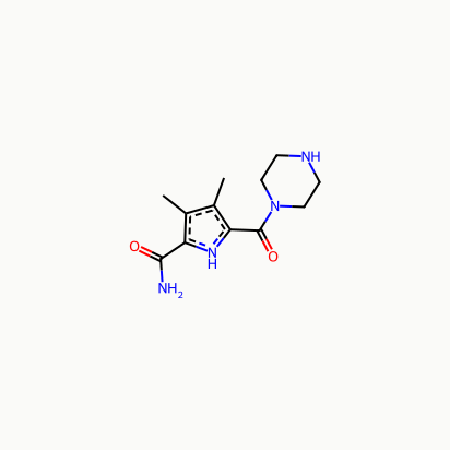 Cc1c(C(N)=O)[nH]c(C(=O)N2CCNCC2)c1C